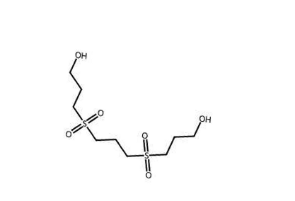 O=S(=O)(CCCO)CCCS(=O)(=O)CCCO